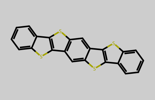 c1ccc2c(c1)sc1c3cc4sc5c6ccccc6sc5c4cc3sc21